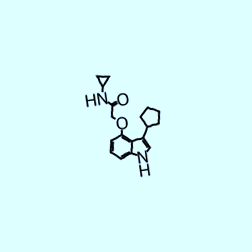 O=C(COc1cccc2[nH]cc(C3CCCC3)c12)NC1CC1